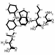 C1CCC(NC2CCCCC2)CC1.CCCC[C@H](N)C(=O)O.CN(C)C[C@H](N)C(=O)O.NCC(=O)O.[CH]1Cc2ccccc2C1